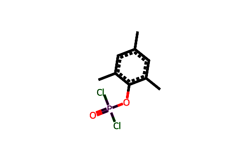 Cc1cc(C)c(OP(=O)(Cl)Cl)c(C)c1